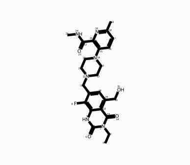 CCn1c(=O)[nH]c2c(F)c(CN3CCN(c4ccc(C)nc4C(=O)NC)CC3)cc(CO)c2c1=O